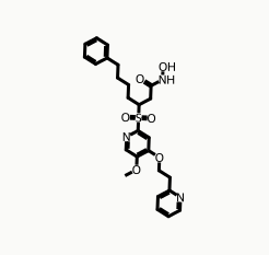 COc1cnc(S(=O)(=O)C(CCCCc2ccccc2)CC(=O)NO)cc1OCCc1ccccn1